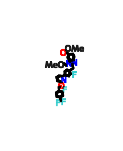 COCCn1c(Cc2ccc(-c3cccc(OCc4ccc(C(F)F)cc4F)n3)cc2F)nc2ccc(C(=O)OC)cc21